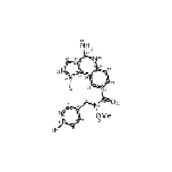 CON(Cc1ccc(F)cc1)C(=O)c1ccc2nc(N)c3cnn(C)c3c2c1